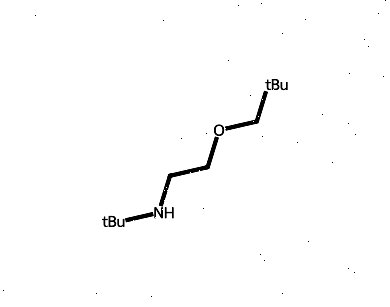 CC(C)(C)COCCNC(C)(C)C